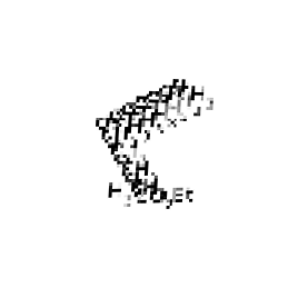 CCOC(C)=O.Cc1ccccc1.Cc1ccccc1.Cc1ccccc1.Cc1ccccc1.Cc1ccccc1.Cc1ccccc1.Cc1ccccc1.Cc1ccccc1.Cc1ccccc1.Cc1ccccc1